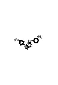 CC(C)(C)c1ccc(-n2nnc3cnc(NC4CCCC(N)C4)nc32)cc1